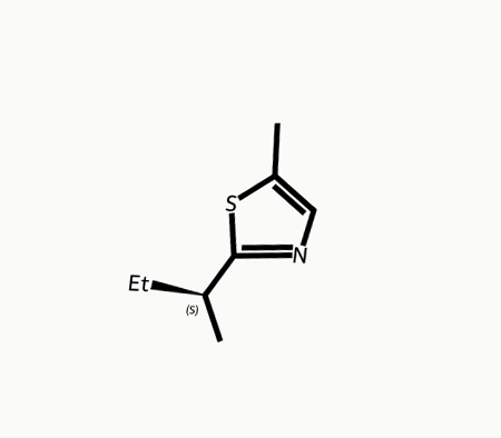 CC[C@H](C)c1ncc(C)s1